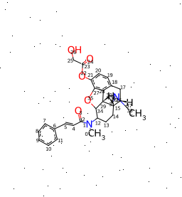 CN(C(=O)/C=C/c1ccccc1)C1CC[C@H]2[C@H]3Cc4ccc(OC(=O)CO)c5c4[C@@]2(CCN3C)C1O5